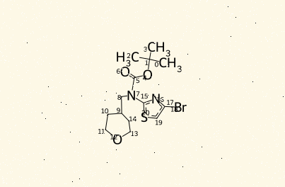 CC(C)(C)OC(=O)N(CC1CCOCC1)c1nc(Br)cs1